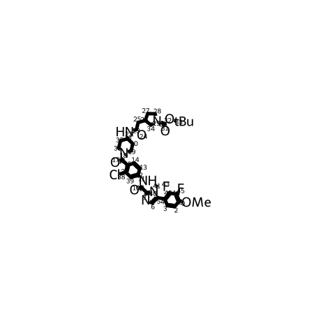 COc1ccc(-c2cnc(C(=O)Nc3ccc(C(=O)N4CCC(NC(=O)CC5CCN(C(=O)OC(C)(C)C)C5)CC4)c(Cl)c3)n2C)c(F)c1F